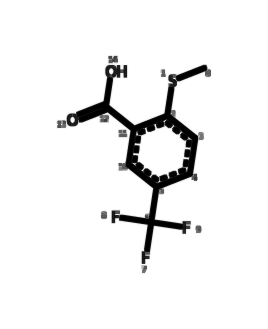 CSc1ccc(C(F)(F)F)cc1C(=O)O